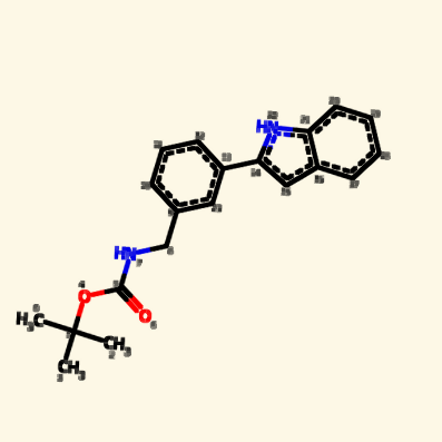 CC(C)(C)OC(=O)NCc1cccc(-c2cc3ccccc3[nH]2)c1